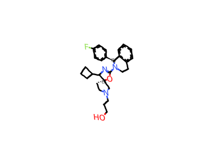 OCCCN1CC[C@@]2(C1)OC(N1CCc3ccccc3[C@@H]1c1ccc(F)cc1)=NC2C1CCC1